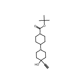 C#CC1(O)CCN(C2CCN(C(=O)OC(C)(C)C)CC2)CC1